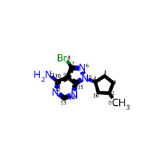 CC1CCC(n2nc(Br)c3c(N)ncnc32)C1